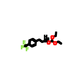 CCOC(OCC)O[SiH2]CCc1ccc(C(F)(F)F)cc1